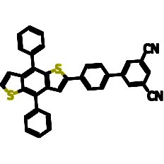 N#Cc1cc(C#N)cc(-c2ccc(-c3cc4c(-c5ccccc5)c5sccc5c(-c5ccccc5)c4s3)cc2)c1